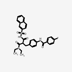 CCN(CC)C(=O)C(Cc1ccc(NC(=O)c2ccc(F)cc2)cc1)C(=O)NS(=O)(=O)c1ccc2ccccc2c1